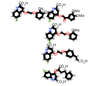 COc1ccc(C(=O)COc2cc(C(=O)O)nc3ccc(F)cc23)cc1OC.COc1ccccc1OCCOc1cc(C(=O)O)nc2ccc(F)cc12.Cc1cccc(OCCOc2cc(C(=O)O)nc3ccc(F)cc23)c1C.O=C(O)CCc1ccc(OCCOc2cc(C(=O)O)nc3ccc(F)cc23)cc1.O=C(O)c1cc(OC(CCc2ccccc2)C(=O)O)c2cc(F)ccc2n1